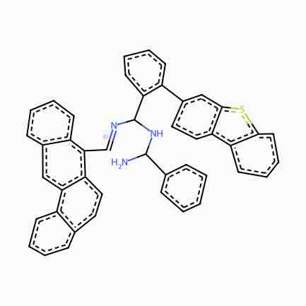 NC(NC(/N=C/c1c2ccccc2cc2c1ccc1ccccc12)c1ccccc1-c1ccc2c(c1)sc1ccccc12)c1ccccc1